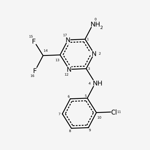 Nc1nc(Nc2ccccc2Cl)nc(C(F)F)n1